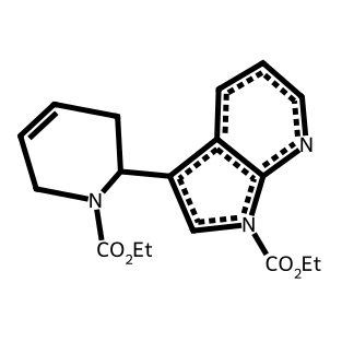 CCOC(=O)N1CC=CCC1c1cn(C(=O)OCC)c2ncccc12